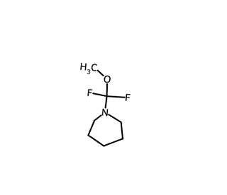 COC(F)(F)N1CCCCC1